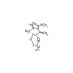 C=C(c1c(C)noc1C)C1CCCC(OCC)O1